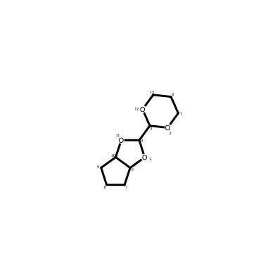 C1CO[C](C2OC3CCCC3O2)OC1